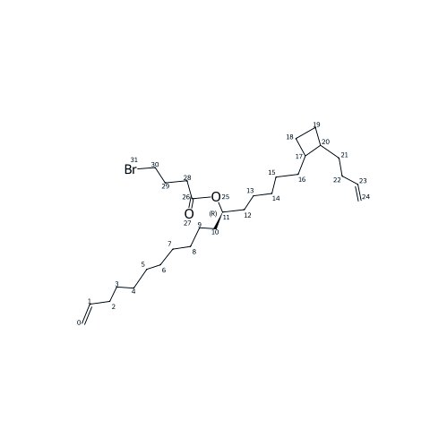 C=CCCCCCCCCC[C@H](CCCCCC1CCC1CCC=C)OC(=O)CCCBr